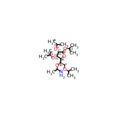 CC(C)OC[C@@H](OC(C)N)[C@H]1O[C@H](OC(C)C)[C@@H](OC(C)C)[C@H]1OC(C)C